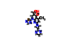 Cc1cc(N2CC(c3ncccn3)C2)nc2c1c(=O)c(CO)cn2-c1ncns1